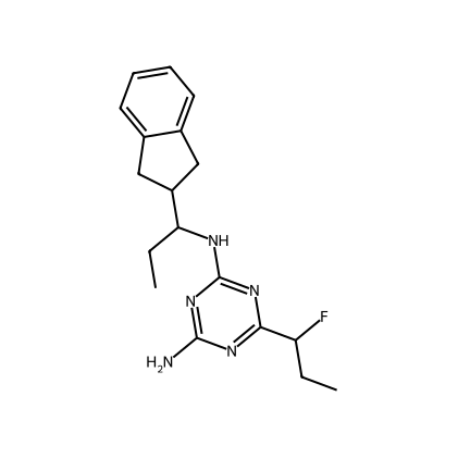 CCC(F)c1nc(N)nc(NC(CC)C2Cc3ccccc3C2)n1